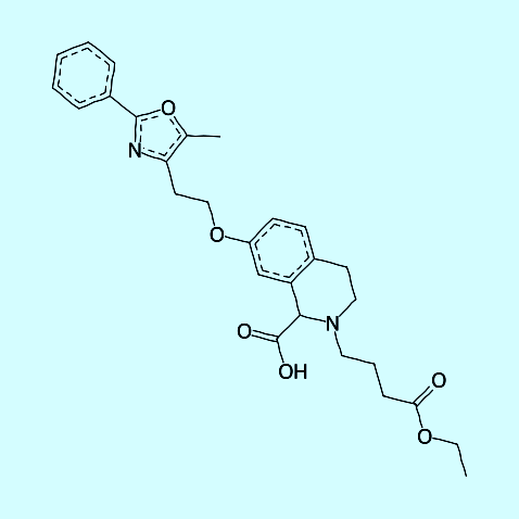 CCOC(=O)CCCN1CCc2ccc(OCCc3nc(-c4ccccc4)oc3C)cc2C1C(=O)O